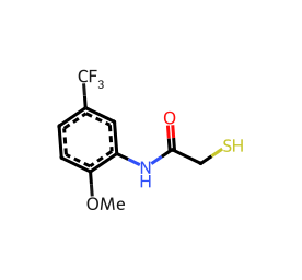 COc1ccc(C(F)(F)F)cc1NC(=O)CS